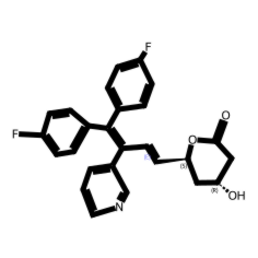 O=C1C[C@H](O)C[C@@H](/C=C/C(=C(c2ccc(F)cc2)c2ccc(F)cc2)c2cccnc2)O1